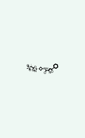 C[C@H](c1nnc([C@H]2C[C@H](NC(=O)c3cc(-c4ccccc4)on3)C2)o1)S(C)(=O)=O